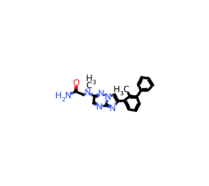 Cc1c(-c2ccccc2)cccc1-c1cn2nc(N(C)CC(N)=O)cnc2n1